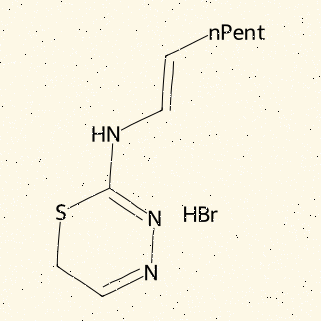 Br.CCCCC/C=C/NC1=NN=CCS1